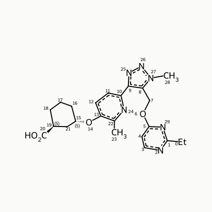 CCc1nccc(OCc2c(-c3ccc(O[C@H]4CCC[C@H](C(=O)O)C4)c(C)n3)nnn2C)n1